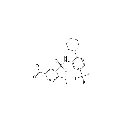 CCc1ccc(C(=O)O)cc1S(=O)(=O)Nc1cc(C(F)(F)F)ccc1C1CCCCC1